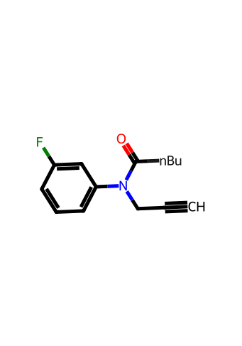 C#CCN(C(=O)CCCC)c1cccc(F)c1